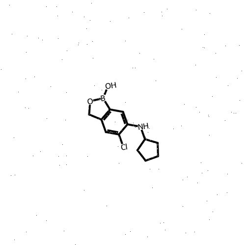 OB1OCc2cc(Cl)c(NC3CCCC3)cc21